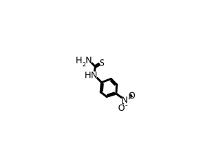 NC(=S)Nc1ccc([N+](=O)[O-])cc1